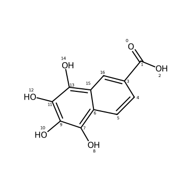 O=C(O)c1ccc2c(O)c(O)c(O)c(O)c2c1